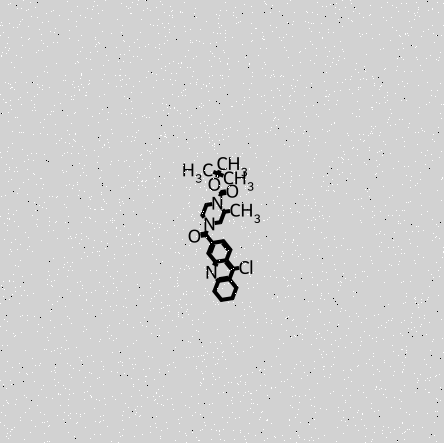 CC1CN(C(=O)c2ccc3c(Cl)c4c(nc3c2)CCCC4)CCN1C(=O)OC(C)(C)C